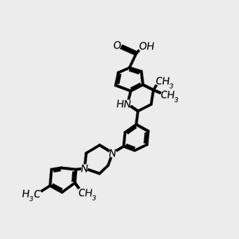 Cc1ccc(N2CCN(c3cccc(C4CC(C)(C)c5cc(C(=O)O)ccc5N4)c3)CC2)c(C)c1